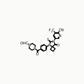 N#Cc1ncc(N2C(=O)C3(CCC3)N(c3ccc(C(=O)N4CCN(C=O)CC4)cc3)C2=S)cc1C(F)(F)F